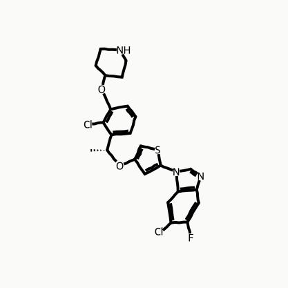 C[C@@H](Oc1csc(-n2cnc3cc(F)c(Cl)cc32)c1)c1cccc(OC2CCNCC2)c1Cl